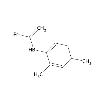 C=C(BC1=CCC(C)C=C1C)C(C)C